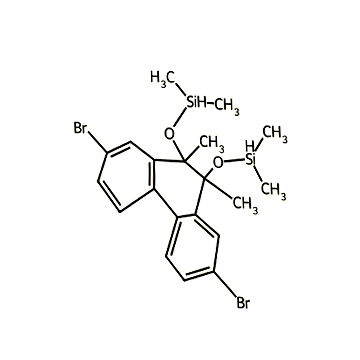 C[SiH](C)OC1(C)c2cc(Br)ccc2-c2ccc(Br)cc2C1(C)O[SiH](C)C